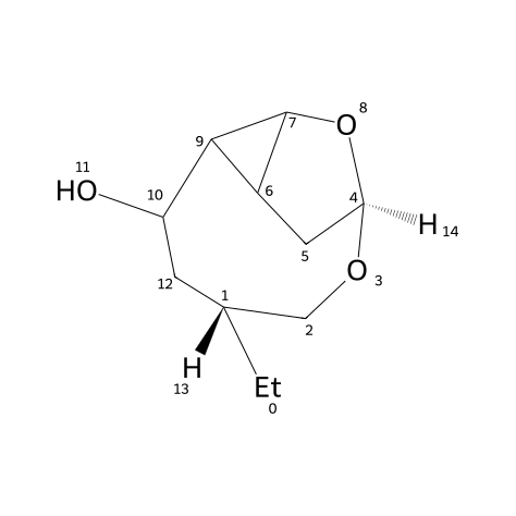 CC[C@H]1CO[C@H]2CC3C(O2)C3C(O)C1